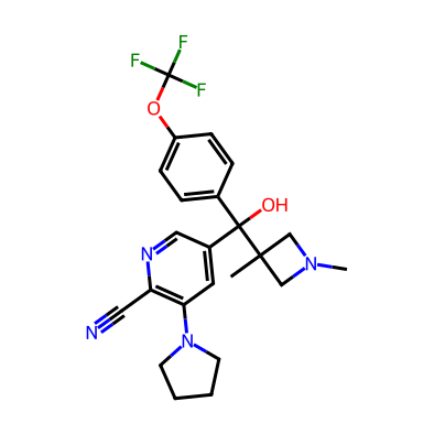 CN1CC(C)(C(O)(c2ccc(OC(F)(F)F)cc2)c2cnc(C#N)c(N3CCCC3)c2)C1